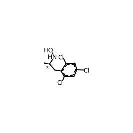 C[C@H](Cc1c(Cl)cc(Cl)cc1Cl)NO